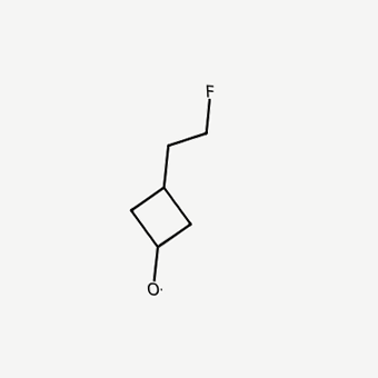 [O]C1CC(CCF)C1